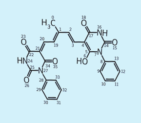 CC(C=Cc1c(O)n(-c2ccccc2)c(=O)[nH]c1=O)=CC=C1C(=O)NC(=O)N(c2ccccc2)C1=O